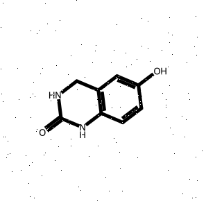 O=C1NCc2cc(O)ccc2N1